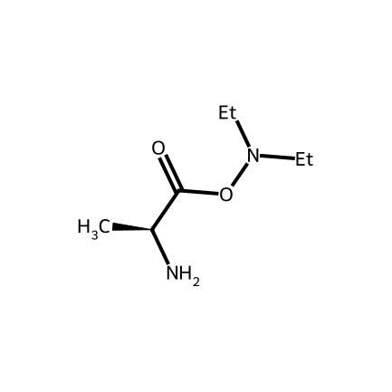 CCN(CC)OC(=O)[C@H](C)N